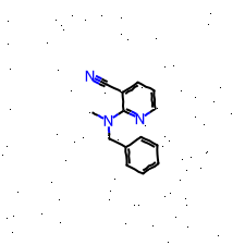 CN(Cc1ccccc1)c1ncccc1C#N